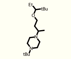 CCC(OCCC(C)N1CCN(C(C)(C)C)CC1)C(C)(C)C